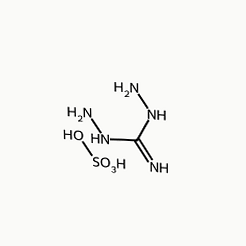 N=C(NN)NN.O=S(=O)(O)O